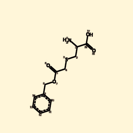 NC(CSCC(=O)OCc1ccccc1)C(=O)O